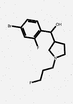 OC(c1ccc(Br)cc1F)C1CCN(CCCF)C1